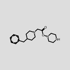 O=C(CN1CCC(Cc2ccccc2)CC1)ON1CCNCC1